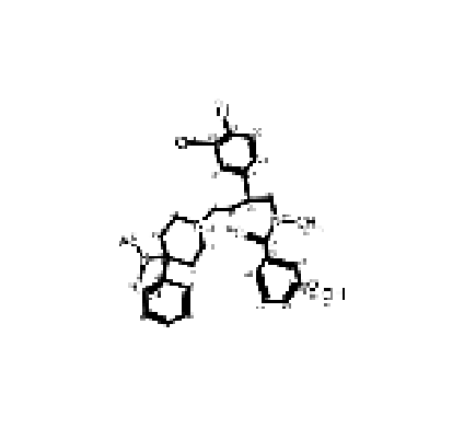 CC(=O)N(C)C1(c2ccccc2)CCN(CCC(CN(C)C(=O)c2ccccc2)c2ccc(Cl)c(Cl)c2)CC1.Cl.O